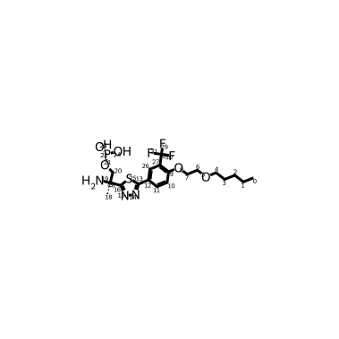 CCCCCOCCOc1ccc(-c2nnc([C@@](C)(N)CO[PH](=O)O)s2)cc1C(F)(F)F